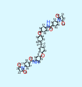 CC(C)(c1ccc(Oc2ccc(NC(=O)c3ccc(N4C(=O)C=CC4=O)cc3)cc2)cc1)c1ccc(Oc2ccc(NC(=O)c3ccc(N4C(=O)C=CC4=O)cc3)cc2)cc1